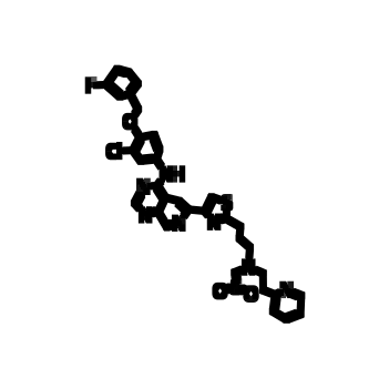 O=S(=O)=CN(CCCc1nc(-c2cc3c(Nc4ccc(OCc5cccc(F)c5)c(Cl)c4)ncnc3cn2)cs1)CCc1ccccn1